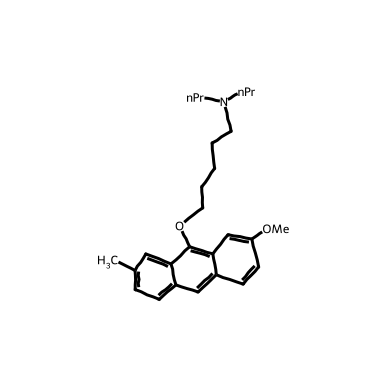 CCCN(CCC)CCCCCOc1c2cc(C)ccc2cc2ccc(OC)cc12